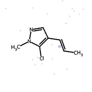 C/C=C/c1cnn(C)c1Cl